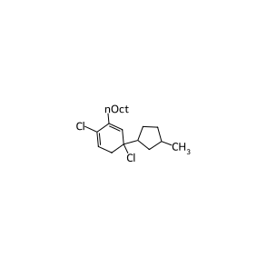 CCCCCCCCC1=CC(Cl)(C2CCC(C)C2)CC=C1Cl